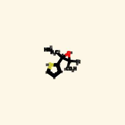 CCC1(C(=O)O)OC1(C)c1cccs1.[NaH]